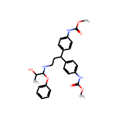 COC(=O)Nc1ccc(C(CCNC(Oc2ccccc2)C(C)O)c2ccc(NC(=O)OC)cc2)cc1